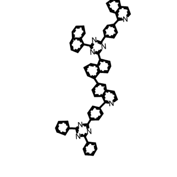 c1ccc(-c2nc(-c3ccccc3)nc(-c3ccc(-c4nccc5cc(-c6cccc7c(-c8nc(-c9ccc(-c%10nccc%11ccccc%10%11)cc9)nc(-c9cccc%10ccccc9%10)n8)cccc67)ccc45)cc3)n2)cc1